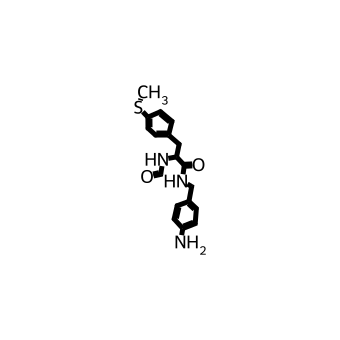 CSc1ccc(CC(NC=O)C(=O)NCc2ccc(N)cc2)cc1